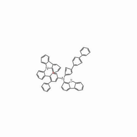 c1ccc(-c2ccc(-c3ccc(N(c4ccc(-c5ccccc5-n5c6ccccc6c6ccccc65)c(-c5ccccc5)c4)c4cccc5c4sc4ccccc45)cc3)cc2)cc1